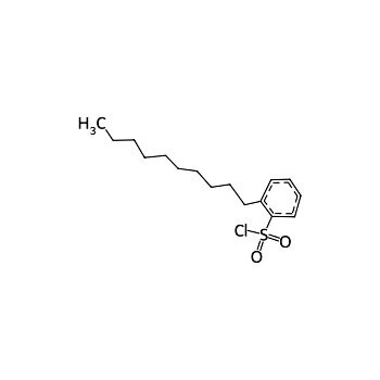 CCCCCCCCCCc1ccccc1S(=O)(=O)Cl